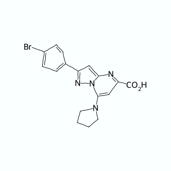 O=C(O)c1cc(N2CCCC2)n2nc(-c3ccc(Br)cc3)cc2n1